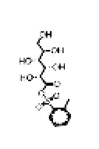 Cc1ccccc1S(=O)(=O)OC(=O)[C@H](O)[C@@H](O)[C@H](O)[C@H](O)CO